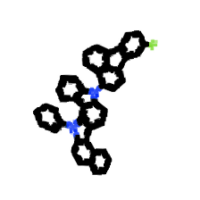 Fc1ccc2c(c1)-c1ccc(-n3c4ccccc4c4c3ccc3c5c6ccccc6ccc5n(-c5ccccc5)c34)c3cccc-2c13